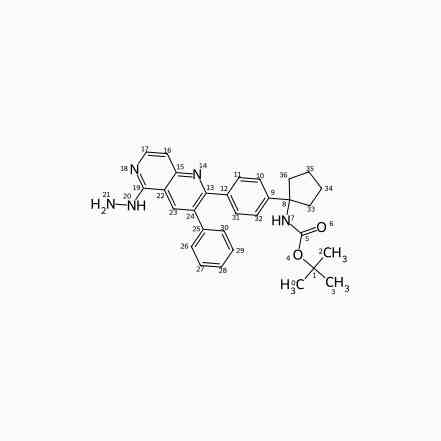 CC(C)(C)OC(=O)NC1(c2ccc(-c3nc4ccnc(NN)c4cc3-c3ccccc3)cc2)CCCC1